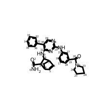 NC(=O)C1C2C=CC(C2)C1Nc1nc(Nc2cccc(C(=O)N3CCCC3)c2)ncc1-c1ccccc1